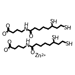 O=C([O-])CCCNC(=O)CCCCC(S)CCS.O=C([O-])CCCNC(=O)CCCCC(S)CCS.[Zn+2]